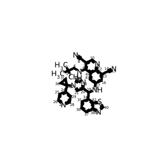 CC(C)(C)CNc1c(C#N)cnc2c(C#N)cc(NC(c3cn(C4(c5ccncc5)CC4)nn3)c3cccc4ncsc34)cc12